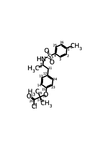 Cc1ccc(S(=O)(=O)N[C@H](C)Cc2ccc(OC(C)(C)C(=O)Cl)cc2)cc1